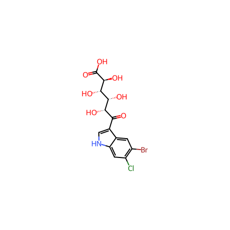 O=C(O)[C@@H](O)[C@@H](O)[C@H](O)[C@@H](O)C(=O)c1c[nH]c2cc(Cl)c(Br)cc12